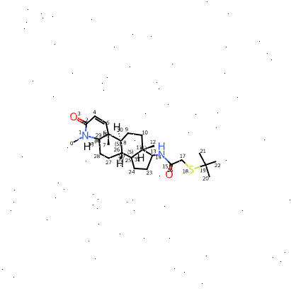 CN1C(=O)C=C[C@]2(C)[C@H]3CC[C@]4(C)C(NC(=O)CSC(C)(C)C)CC[C@H]4[C@@H]3CC[C@@H]12